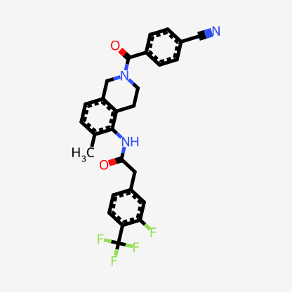 Cc1ccc2c(c1NC(=O)Cc1ccc(C(F)(F)F)c(F)c1)CCN(C(=O)c1ccc(C#N)cc1)C2